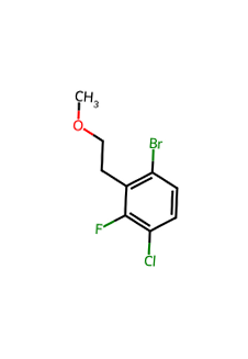 COCCc1c(Br)ccc(Cl)c1F